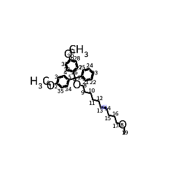 COc1ccc(C(OCCCCC/C=C/CCCOI)(c2ccccc2)c2ccc(OC)cc2)cc1